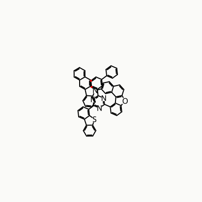 c1ccc(-c2cccc(-c3nc(-c4cccc5c4sc4ccccc45)nc(-c4cccc5oc6ccc7ccc(-n8c9ccccc9c9cc%10ccccc%10cc98)cc7c6c45)n3)c2)cc1